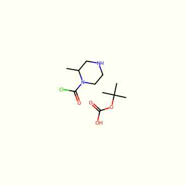 CC(C)(C)OC(=O)O.CC1CNCCN1C(=O)Cl